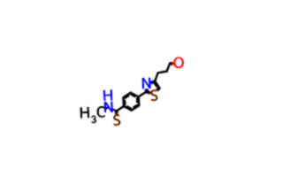 CNC(=S)c1ccc(-c2nc(CCC=O)cs2)cc1